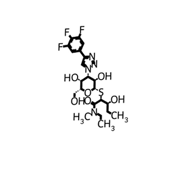 CC[C@H](O)[C@H](S[C@@H]1O[C@H](CO)[C@H](O)[C@H](n2cc(-c3cc(F)c(F)c(F)c3)nn2)[C@H]1O)C(=O)N(C)CC